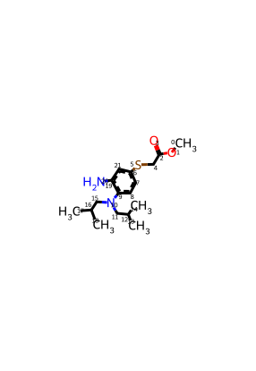 COC(=O)CSc1ccc(N(CC(C)C)CC(C)C)c(N)c1